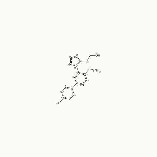 NCc1cnc(-c2ccc(F)cc2)cc1-c1nccn1CCO